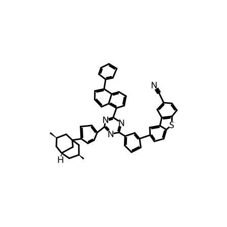 C[C@@H]1C[C@@H]2C[C@H](C)CC(c3ccc(-c4nc(-c5cccc(-c6ccc7sc8ccc(C#N)cc8c7c6)c5)nc(-c5cccc6c(-c7ccccc7)cccc56)n4)cc3)(C1)C2